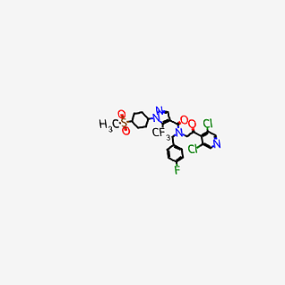 CS(=O)(=O)C1CCC(n2ncc(C(=O)N(CC(=O)c3c(Cl)cncc3Cl)Cc3ccc(F)cc3)c2C(F)(F)F)CC1